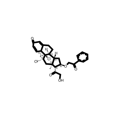 C[C@]12C[C@H](Cl)[C@@]3(Cl)[C@@H](CCC4=CC(=O)C=C[C@@]43C)[C@@H]1C[C@@H](OCC(=O)c1ccccc1)[C@@H]2C(=O)CO